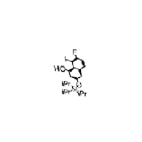 CC(C)[Si](Oc1cc(O)c2c(I)c(F)ccc2c1)(C(C)C)C(C)C